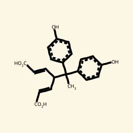 CC(c1ccc(O)cc1)(c1ccc(O)cc1)C(C=CC(=O)O)C=CC(=O)O